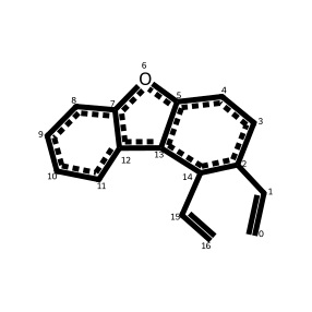 C=Cc1ccc2oc3ccccc3c2c1C=C